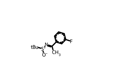 C/C(=N\[S+]([O-])C(C)(C)C)c1cccc(F)c1